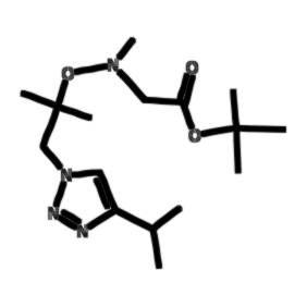 CC(C)c1cn(CC(C)(C)ON(C)CC(=O)OC(C)(C)C)nn1